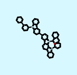 c1ccc(-c2cccc(-n3c4ccccc4c4cc(-c5ccc6c(c5)c5ccc7c8ccccc8n(-c8ccccc8)c7c5n6-c5cccc6ccccc56)ccc43)c2)cc1